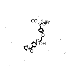 CC(C)OC(Cc1ccc(OCCC(O)Oc2ccc(C(=O)N3CCCC3)cc2)cc1)C(=O)O